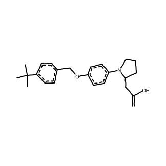 C=C(O)CC1CCCN1c1ccc(OCc2ccc(C(C)(C)C)cc2)cc1